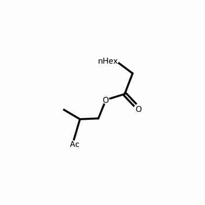 CCCCCCCC(=O)OCC(C)C(C)=O